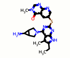 CCc1[nH]c2nc(Sc3cnc4ncn(C)c(=O)c4c3)nc(N3CC4C(N)C4C3)c2c1C